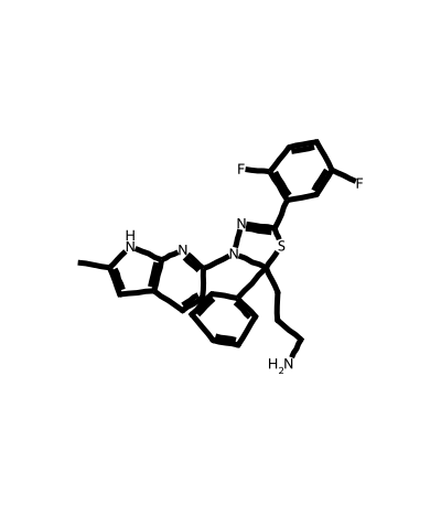 Cc1cc2ccc(N3N=C(c4cc(F)ccc4F)SC3(CCCN)c3ccccc3)nc2[nH]1